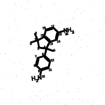 CC1(C)CC(C)(c2ccc(N)cc2)c2cc(N)ccc21